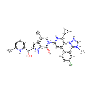 Cc1cccc(C(O)c2cc3c(C#N)cn(-c4cc(-c5ccc(F)cc5-c5nncn5C)cc(C5CC5)n4)c(=O)c3[nH]2)n1